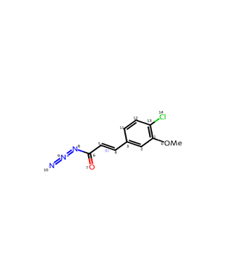 COc1cc(/C=C/C(=O)N=[N+]=[N-])ccc1Cl